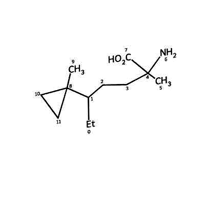 CCC(CCC(C)(N)C(=O)O)C1(C)CC1